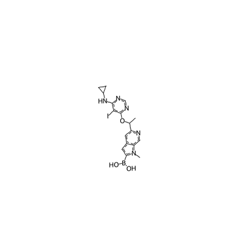 CC(Oc1ncnc(NC2CC2)c1I)c1cc2cc(B(O)O)n(C)c2cn1